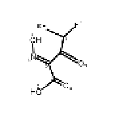 O=C(O)C(=NO)C(=O)C(F)F